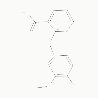 COc1cc(Sc2ccccc2C(=O)O)ccc1F